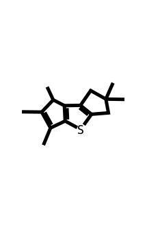 CC1=C(C)C(C)c2c1sc1c2CC(C)(C)C1